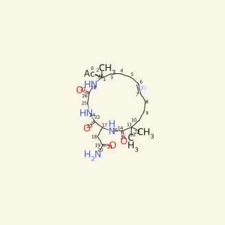 CC(=O)[C@@]1(C)CCC/C=C/CCCC(C)(C)C(=O)NC(CC(N)=O)C(=O)NCC(=O)N1